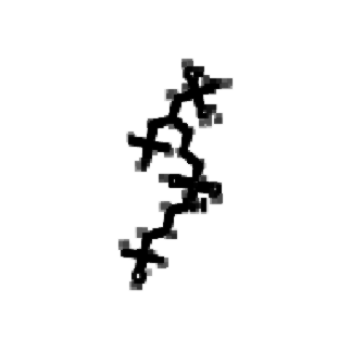 CC(C)(F)CC(CCCS(=O)(=O)NCCC[N+](C)(C)[O-])CC(F)(C(F)(F)F)C(F)(F)F